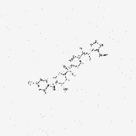 C=Nc1[nH]ccc1/C(C)=C(\C)c1ccc(S(=O)(=O)N2CC[C@@H](Nc3ccc(C(F)(F)F)cn3)[C@@H](O)C2)cc1